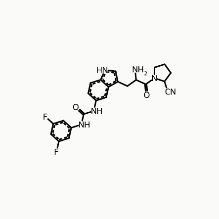 N#CC1CCCN1C(=O)C(N)Cc1c[nH]c2ccc(NC(=O)Nc3cc(F)cc(F)c3)cc12